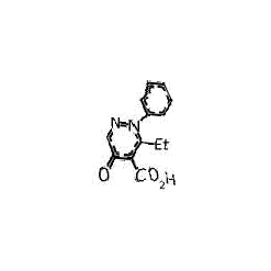 CCc1c(C(=O)O)c(=O)cnn1-c1ccccc1